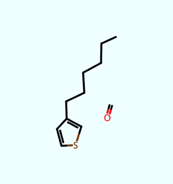 C=O.CCCCCCc1ccsc1